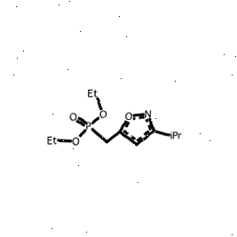 CCOP(=O)(Cc1cc(C(C)C)no1)OCC